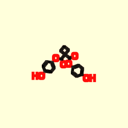 O=C(Oc1ccc(O)cc1)C1(C(=O)Oc2ccc(O)cc2)CCC1